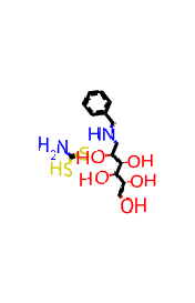 NC(=S)S.OC[C@@H](O)[C@@H](O)[C@H](O)[C@@H](O)CNCc1ccccc1